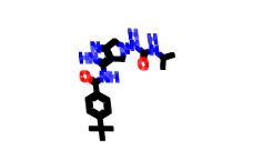 CC(C)NC(=O)NN1Cc2n[nH]c(NC(=O)c3ccc(C(C)(C)C)cc3)c2C1